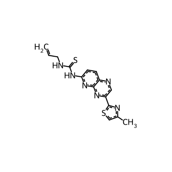 C=CCNC(=S)Nc1ccc2ncc(-c3nc(C)cs3)nc2n1